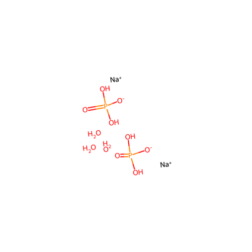 O.O.O.O=P([O-])(O)O.O=P([O-])(O)O.[Na+].[Na+]